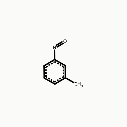 Cc1cccc(N=O)c1